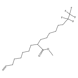 C=CCCCCCCC(CCCCCCC(F)(F)C(F)(F)F)C(=O)OC